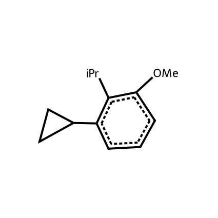 COc1cccc(C2CC2)c1C(C)C